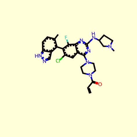 C=CC(=O)N1CCN(c2nc(NC3CCN(C)C3)nc3c(F)c(-c4c(C)ccc5[nH]ncc45)c(Cl)cc23)CC1